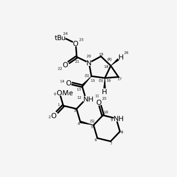 COC(=O)C(C[C@@H]1CCCNC1=O)NC(=O)[C@@H]1[C@H]2C[C@H]2CN1C(=O)OC(C)(C)C